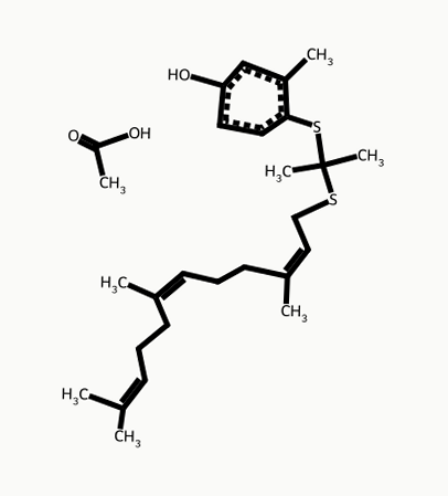 CC(=O)O.CC(C)=CCCC(C)=CCCC(C)=CCSC(C)(C)Sc1ccc(O)cc1C